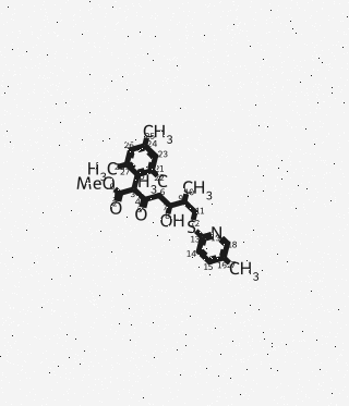 COC(=O)C(C(=O)CC(O)C(C)CSc1ccc(C)cn1)c1c(C)cc(C)cc1C